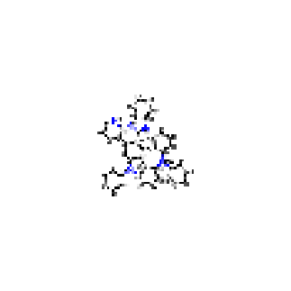 c1ccc(-n2c3cc4c5cccnc5n5c6ccccc6nc5c4cc3c3c2ccc2c4ccccc4n(-c4ccccc4)c23)cc1